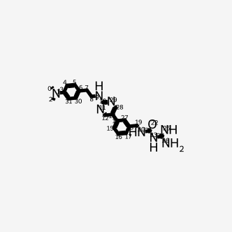 CN(C)c1ccc(CCNc2ncc(-c3cccc(CNC(=O)NC(=N)N)c3)cn2)cc1